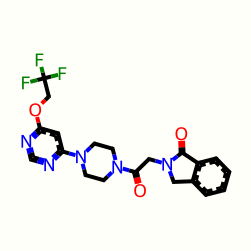 O=C(CN1Cc2ccccc2C1=O)N1CCN(c2cc(OCC(F)(F)F)ncn2)CC1